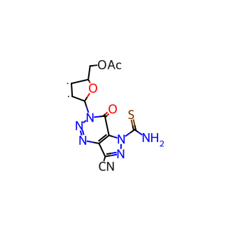 CC(=O)OCC1[CH][CH]C(n2nnc3c(C#N)nn(C(N)=S)c3c2=O)O1